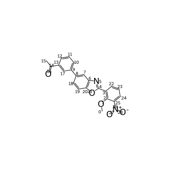 COc1c(-c2nc3cc(-c4cccc(C(C)=O)c4)ccc3o2)cccc1[N+](=O)[O-]